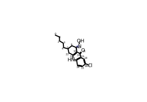 CCCCCC1C/C(=N\O)c2c([nH]c3ccc(Cl)cc3c2=O)C1